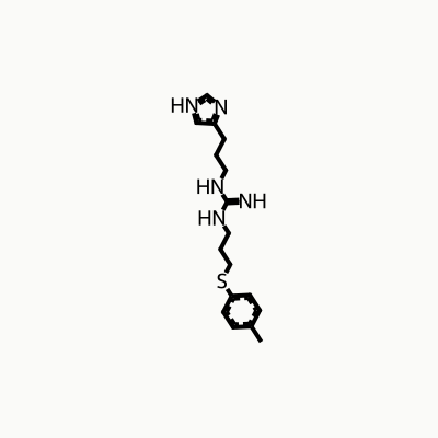 Cc1ccc(SCCCNC(=N)NCCCc2c[nH]cn2)cc1